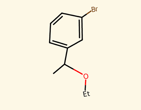 CCOC(C)c1cccc(Br)c1